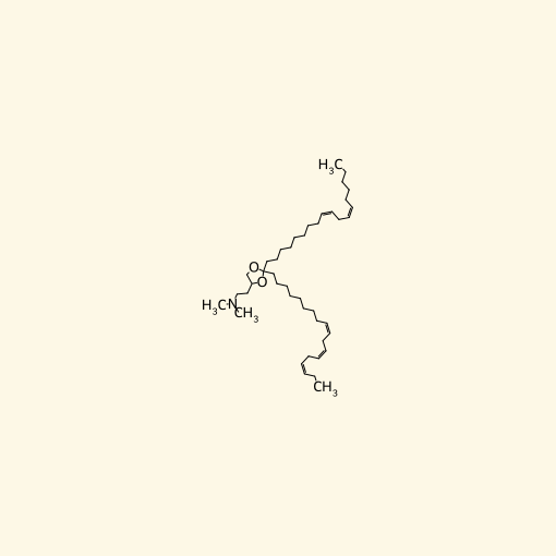 CC/C=C\C/C=C\C/C=C\CCCCCCCCC1(CCCCCCCC/C=C\C/C=C\CCCCC)OCC(CCN(C)C)O1